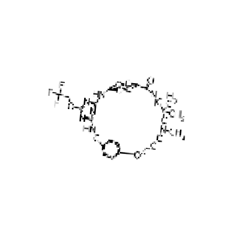 CN1CCCOc2ccc(cc2)CNc2nc(nc(OCC(F)(F)F)n2)Nc2ccc(cc2)C(=O)NCC(C)(C)C1